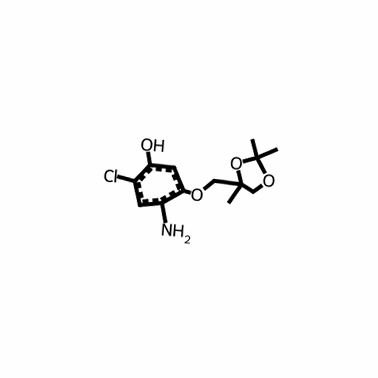 CC1(COc2cc(O)c(Cl)cc2N)COC(C)(C)O1